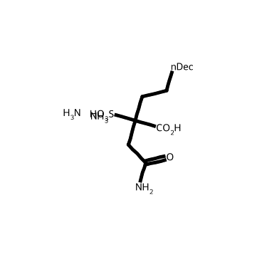 CCCCCCCCCCCCC(CC(N)=O)(C(=O)O)S(=O)(=O)O.N.N